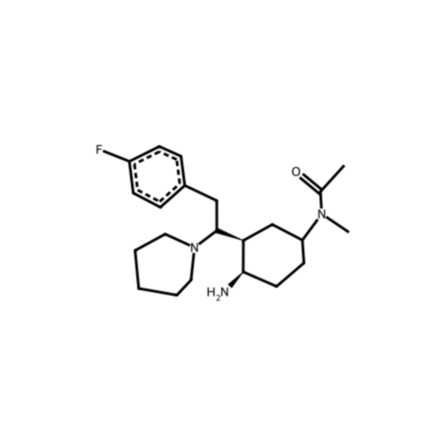 CC(=O)N(C)C1CC[C@@H](N)[C@@H](C(Cc2ccc(F)cc2)N2CCCCC2)C1